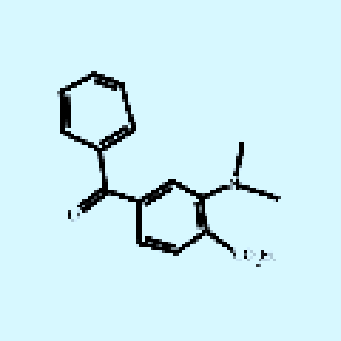 CCOC(=O)c1ccc(C(=O)c2ccccc2)cc1N(C)C